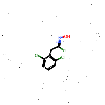 O/N=C(\Cl)Cc1c(Cl)cccc1Cl